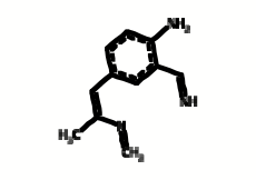 C=N/C(C)=C\c1ccc(N)c(C=N)c1